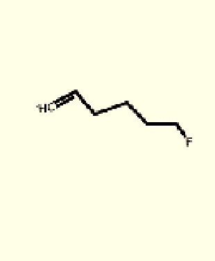 [CH]=CCCCCF